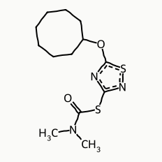 CN(C)C(=O)Sc1nsc(OC2CCCCCCC2)n1